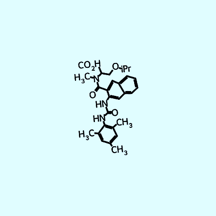 Cc1cc(C)c(NC(=O)Nc2cc3ccccc3cc2C(=O)N(C)C(COC(C)C)C(=O)O)c(C)c1